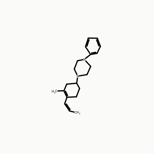 C/C=C\C1=C(C)CC(N2CCN(c3ccccc3)CC2)CC1